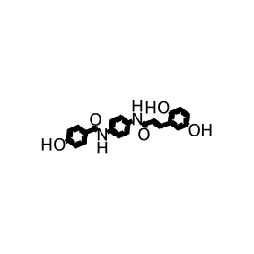 O=C(C=Cc1cc(O)ccc1O)Nc1ccc(NC(=O)c2ccc(O)cc2)cc1